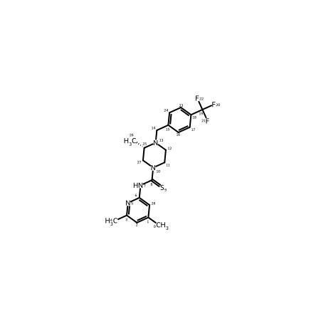 Cc1cc(C)nc(NC(=S)N2CCN(Cc3ccc(C(F)(F)F)cc3)[C@@H](C)C2)c1